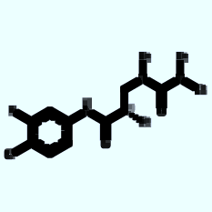 CC[C@@H](CN(CC)C(=O)N(CC)CC)C(=O)Nc1ccc(Cl)c(F)c1